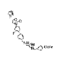 COc1ccc(Cn2cc(CNCc3ccc(-c4ccc(N5C[C@H](Cn6ccnn6)OC5=O)cc4F)cc3)nn2)cc1